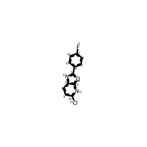 Fc1ccc(-c2nc3ccc(Cl)nc3o2)cc1